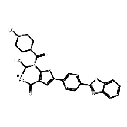 CC1CCC(C(=O)N(c2sc(-c3ccc(-c4nc5ccccc5o4)cc3)cc2C(=O)O)C(C)C)CC1